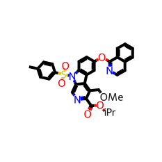 COCc1c(C(=O)OC(C)C)ncc2c1c1cc(Oc3nccc4ccccc34)ccc1n2S(=O)(=O)c1ccc(C)cc1